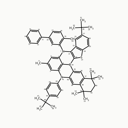 Cc1cc2c3c(c1)N(c1cc(-c4ccccc4)ccc1C)c1c(sc4ccc(C(C)(C)C)cc14)B3c1cc3c(cc1N2c1ccc(C(C)(C)C)cc1)C(C)(C)CCC3(C)C